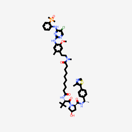 COc1cc(CCN(C)C(=O)CCCCCCCCC(=O)N[C@H](C(=O)N2C[C@H](O)C[C@@H]2C(=O)N[C@@H](C)c2ccc(-c3scnc3C)cc2)C(C)(C)C)c(C)cc1Nc1ncc(Cl)c(Nc2ccccc2P(C)(C)=O)n1